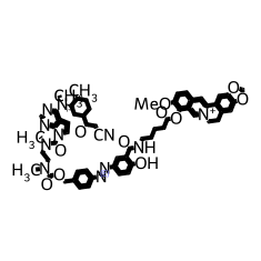 COc1ccc2cc3[n+](cc2c1OC(=O)CCCCNC(=O)c1cc(/N=N/c2ccc(COC(=O)N(C)CCN(C)C(=O)n4ccc5c(N(C)[C@H]6CC(C(=O)CC#N)CC[C@H]6C)ncnc54)cc2)ccc1O)CCc1cc2c(cc1-3)OCO2